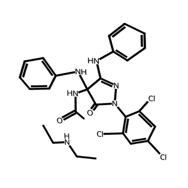 CC(=O)NC1(Nc2ccccc2)C(=O)N(c2c(Cl)cc(Cl)cc2Cl)N=C1Nc1ccccc1.CCNCC